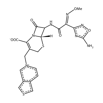 CON=C(C(=O)NC1C(=O)N2C(C(=O)[O-])=C(C[n+]3ccc4cscc4c3)CS[C@@H]12)c1noc(N)n1